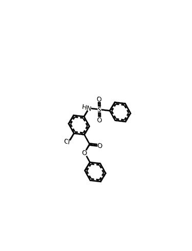 O=C(Oc1ccccc1)c1cc(NS(=O)(=O)c2ccccc2)ccc1Cl